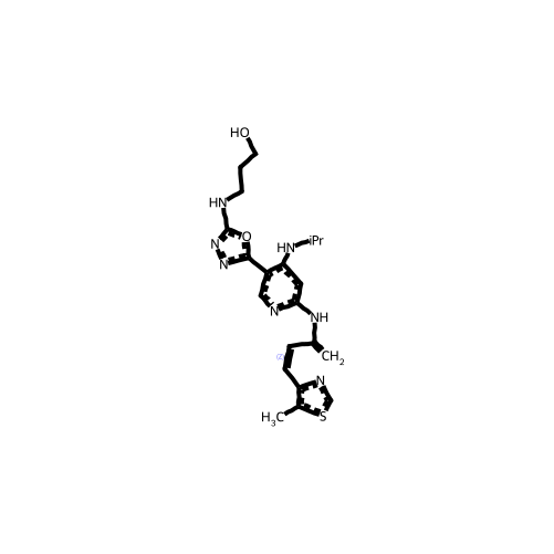 C=C(/C=C\c1ncsc1C)Nc1cc(NC(C)C)c(-c2nnc(NCCCO)o2)cn1